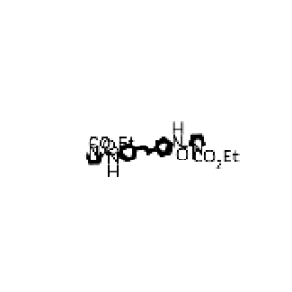 CCOC(=O)N1CCC[C@H]1C(=O)Nc1ccc(/C=C/c2ccc(NC(=O)[C@@H]3CCCN3C(=O)OCC)cc2)cc1